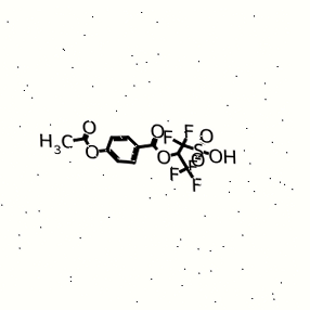 CC(=O)Oc1ccc(C(=O)OC(C(F)(F)F)C(F)(F)S(=O)(=O)O)cc1